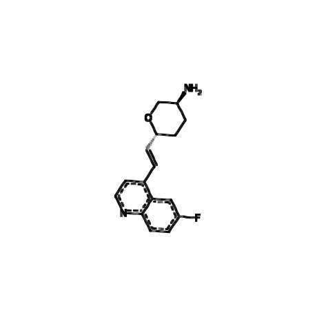 N[C@H]1CC[C@H](C=Cc2ccnc3ccc(F)cc23)OC1